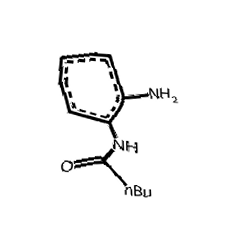 CCCCC(=O)Nc1ccccc1N